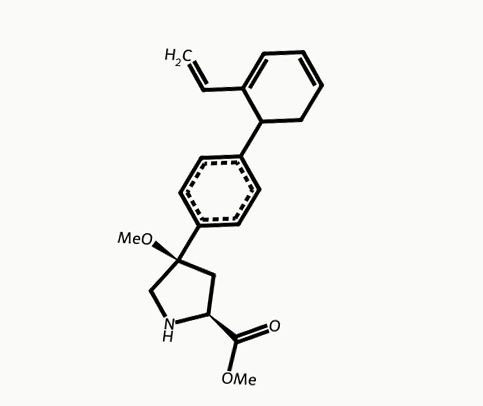 C=CC1=CC=CCC1c1ccc([C@@]2(OC)CN[C@H](C(=O)OC)C2)cc1